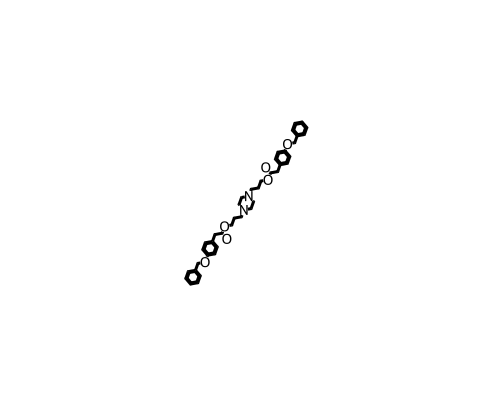 O=C(Cc1ccc(OCc2ccccc2)cc1)OCCCN1CCN(CCCOC(=O)Cc2ccc(OCc3ccccc3)cc2)CC1